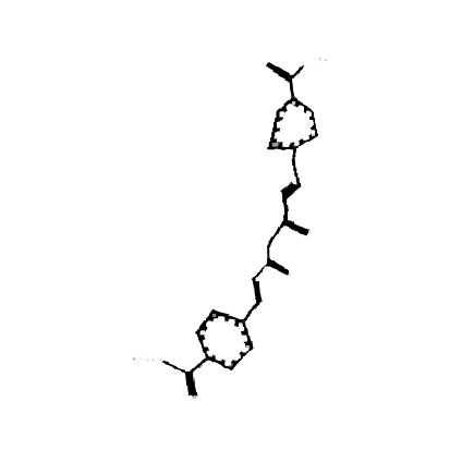 COC(=O)c1ccc(/C=C/C(=O)CC(=O)/C=C/c2ccc(C(=O)OC)cc2)cc1